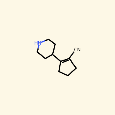 N#CC1=C(C2CCNCC2)CCC1